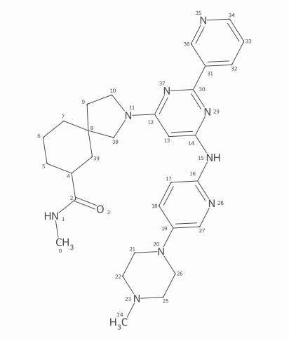 CNC(=O)C1CCCC2(CCN(c3cc(Nc4ccc(N5CCN(C)CC5)cn4)nc(-c4cccnc4)n3)C2)C1